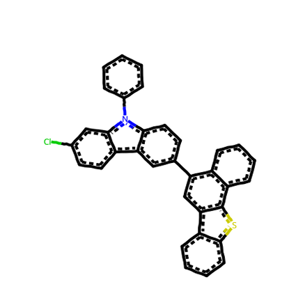 Clc1ccc2c3cc(-c4cc5c6ccccc6sc5c5ccccc45)ccc3n(-c3ccccc3)c2c1